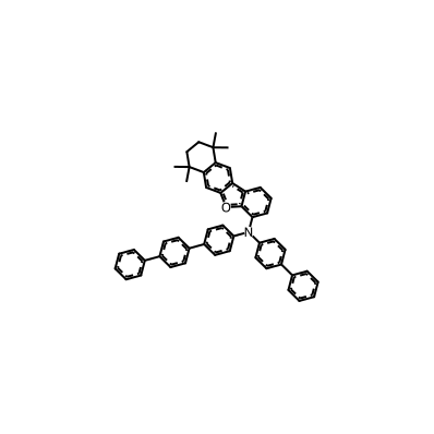 CC1(C)CCC(C)(C)c2cc3c(cc21)oc1c(N(c2ccc(-c4ccccc4)cc2)c2ccc(-c4ccc(-c5ccccc5)cc4)cc2)cccc13